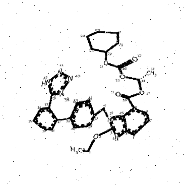 CCOc1nc2cccc(C(=O)O[C@@H](C)OC(=O)OC3CCCCC3)c2n1Cc1ccc(-c2ccccc2-c2nnn[nH]2)cc1